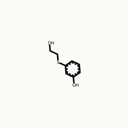 OCCSc1cccc(O)c1